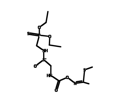 CCOP(=S)(CN[S+]([O-])CNC(=O)ON=C(C)SC)OCC